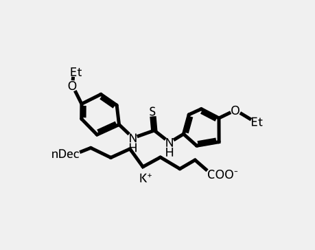 CCCCCCCCCCCCCCCCCC(=O)[O-].CCOc1ccc(NC(=S)Nc2ccc(OCC)cc2)cc1.[K+]